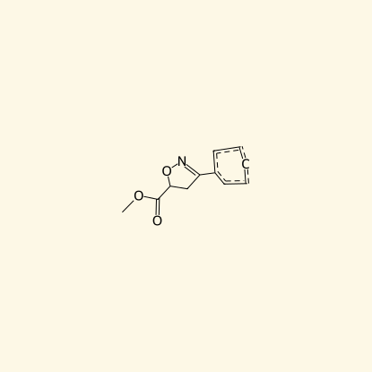 COC(=O)C1CC(c2ccccc2)=NO1